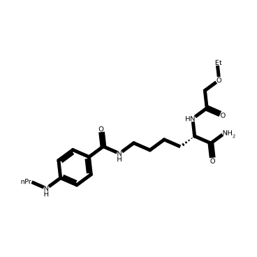 CCCNc1ccc(C(=O)NCCCC[C@H](NC(=O)COCC)C(N)=O)cc1